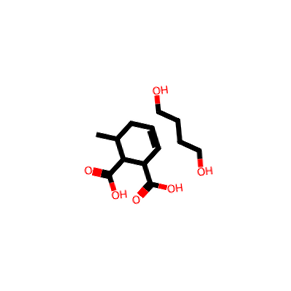 CC1CC=CC(C(=O)O)C1C(=O)O.OCCCCO